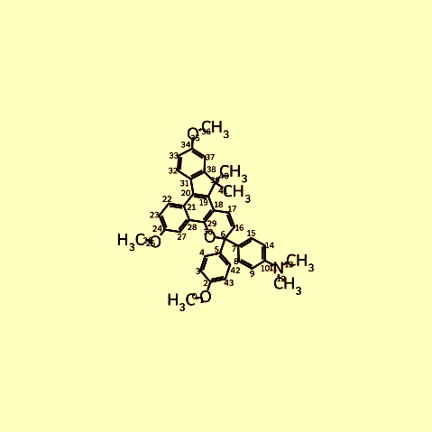 COc1ccc(C2(c3ccc(N(C)C)cc3)C=Cc3c4c(c5ccc(OC)cc5c3O2)-c2ccc(OC)cc2C4(C)C)cc1